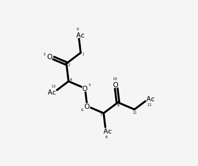 CC(=O)CC(=O)C(OOC(C(C)=O)C(=O)CC(C)=O)C(C)=O